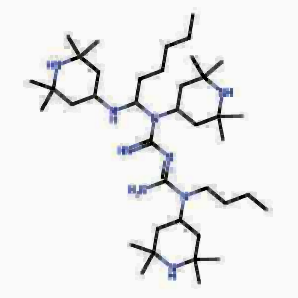 CCCCCC(NC1CC(C)(C)NC(C)(C)C1)N(C(=N)/N=C(\N)N(CCCC)C1CC(C)(C)NC(C)(C)C1)C1CC(C)(C)NC(C)(C)C1